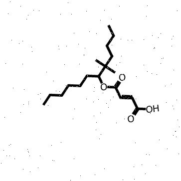 CCCCCCC(OC(=O)C=CC(=O)O)C(C)(C)CCCC